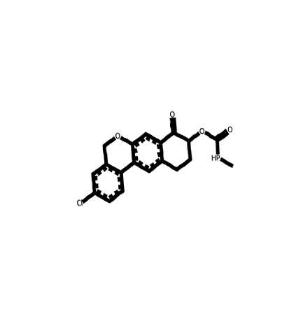 CPC(=O)OC1CCc2cc3c(cc2C1=O)OCc1cc(Cl)ccc1-3